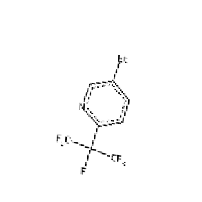 CCc1ccc(C(F)(C(F)(F)F)C(F)(F)F)nc1